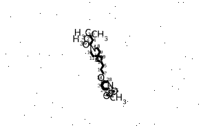 CC(C)(C)CC(=O)N1CCC2(CC1)CC(CCCOc1ccc(S(C)(=O)=O)nc1)C2